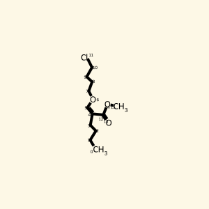 CCCCC(=COCCCCCl)C(=O)OC